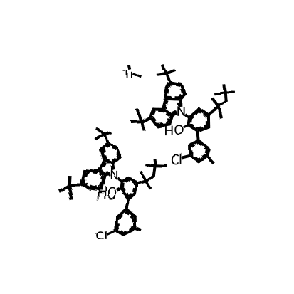 Cc1cc(Cl)cc(-c2cc(C(C)(C)CC(C)(C)C)cc(-n3c4ccc(C(C)(C)C)cc4c4cc(C(C)(C)C)ccc43)c2O)c1.Cc1cc(Cl)cc(-c2cc(C(C)(C)CC(C)(C)C)cc(-n3c4ccc(C(C)(C)C)cc4c4cc(C(C)(C)C)ccc43)c2O)c1.[CH3][Ti][CH3]